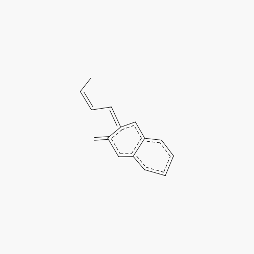 C=c1cc2ccccc2c/c1=C/C=C\C